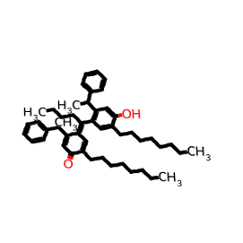 CCCCCCCCC1=CC(=C(CCCC)c2cc(CCCCCCCC)c(O)cc2C(C)c2ccccc2)C(C(C)c2ccccc2)=CC1=O